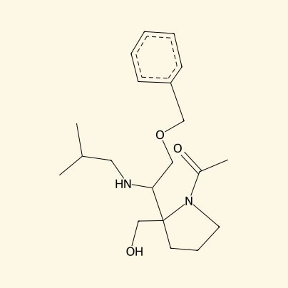 CC(=O)N1CCCC1(CO)C(COCc1ccccc1)NCC(C)C